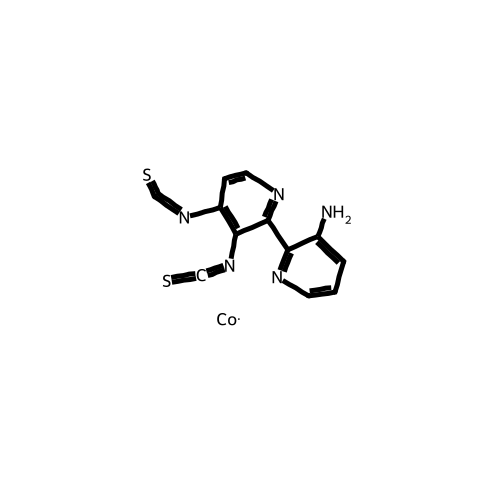 Nc1cccnc1-c1nccc(N=C=S)c1N=C=S.[Co]